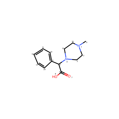 CN1CCN(C(C(=O)O)c2ccccc2)CC1